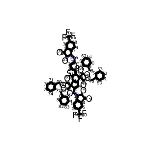 O=C1C(=O)c2cc(C(F)(F)F)ccc2/C1=C/C1=CC2=C(c3sc4cc(/C=C5\C(=O)C(=O)c6cc(C(F)(F)F)ccc65)sc4c3C2(C(=O)OCc2ccccc2)C(=O)OCc2ccccc2)C1(C(=O)OCc1ccccc1)C(=O)OCc1ccccc1